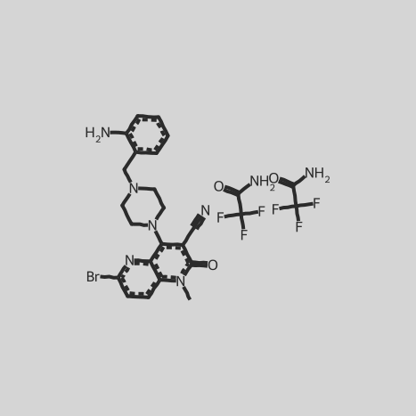 Cn1c(=O)c(C#N)c(N2CCN(Cc3ccccc3N)CC2)c2nc(Br)ccc21.NC(=O)C(F)(F)F.NC(=O)C(F)(F)F